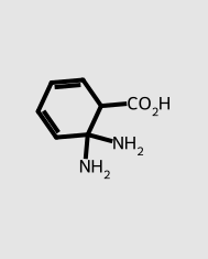 NC1(N)C=CC=CC1C(=O)O